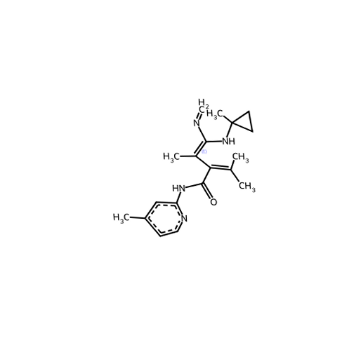 C=N/C(NC1(C)CC1)=C(\C)C(C(=O)Nc1cc(C)ccn1)=C(C)C